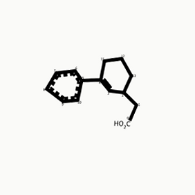 O=C(O)CC1C=C(c2ccccc2)CCC1